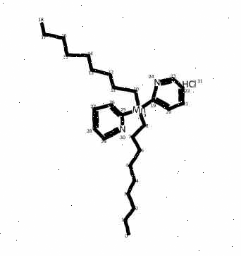 CCCCCCCC[CH2][Mn]([CH2]CCCCCCCC)([c]1ccccn1)[c]1ccccn1.Cl